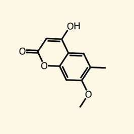 COc1cc2oc(=O)cc(O)c2cc1C